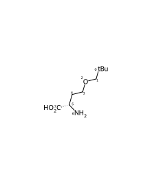 CC(C)(C)COCC[C@H](N)C(=O)O